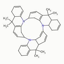 CC1(C)C2=C3CC(C=C2)N2C4=CCCC=C4C(C)(C)C4C=CC(=CC42)N2C4=C(C=CC(C4)N3C3=CC=CCC31)C(C)(C)C1CC=CCC12